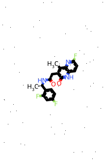 Cc1c(CC(=O)N[C@@H](C)c2ccc(F)cc2F)c(=O)[nH]c2ccc(F)nc12